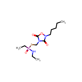 CCCCCn1oc(=O)n(CSP(=O)(CC)NCC)c1=O